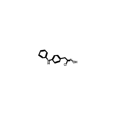 O/N=C(\Cl)Cc1ccc(Nc2ccccc2)cc1